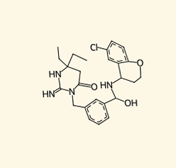 CCC1(CC)CC(=O)N(Cc2cccc(C(O)NC3CCOc4ccc(Cl)cc43)c2)C(=N)N1